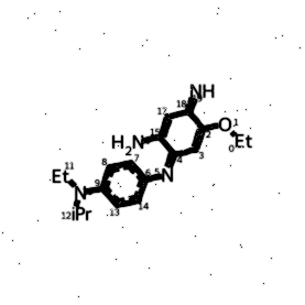 CCOC1=CC(=Nc2ccc(N(CC)C(C)C)cc2)C(N)=CC1=N